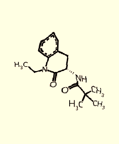 CCN1C(=O)[C@@H](NC(=O)C(C)(C)C)Cc2ccccc21